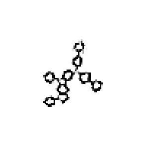 c1ccc(-n2ccc3cc4c5cc(N(c6ccc(-c7ncccn7)cc6)c6ccc(-c7ncncn7)cc6)ccc5n(-c5ccccc5)c4cc32)cc1